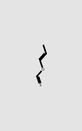 CC=CO[C]=S